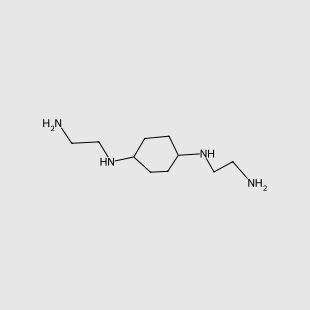 NCCNC1CCC(NCCN)CC1